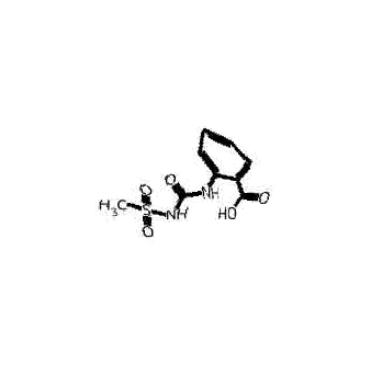 CS(=O)(=O)NC(=O)Nc1ccccc1C(=O)O